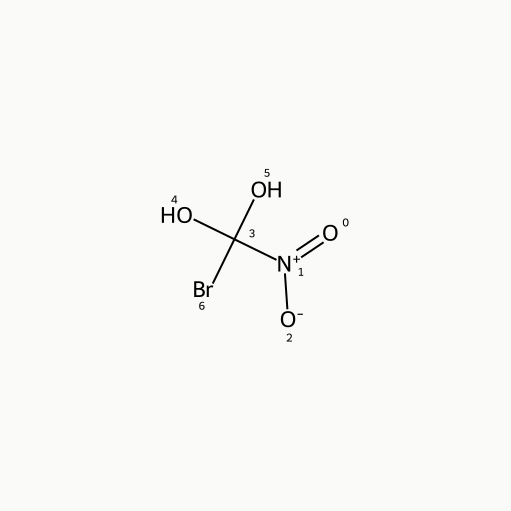 O=[N+]([O-])C(O)(O)Br